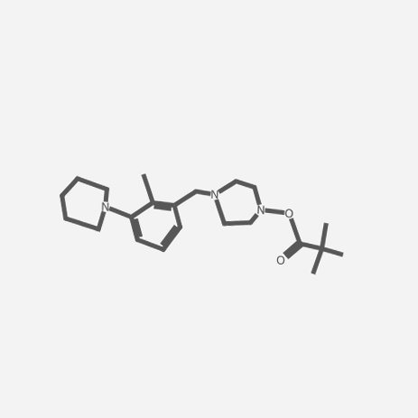 Cc1c(CN2CCN(OC(=O)C(C)(C)C)CC2)cccc1N1CCCCC1